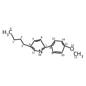 CCCCc1ccc(-c2ccc(OC)cc2)nc1